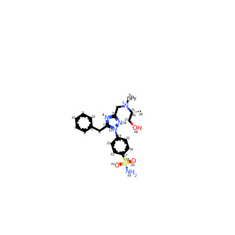 CCCN(Cc1nc(Cc2ccccc2)n(-c2ccc(S(N)(=O)=O)cc2)n1)[C@H](C)CO